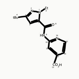 CCn1nc(C(C)(C)C)cc1C(=O)Nc1cc(C(=O)O)ccn1